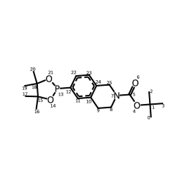 CC(C)(C)OC(=O)N1CCc2cc(P3OC(C)(C)C(C)(C)O3)ccc2C1